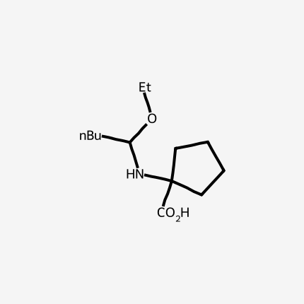 CCCCC(NC1(C(=O)O)CCCC1)OCC